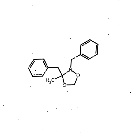 CC1(Cc2ccccc2)OCON1Cc1ccccc1